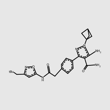 CC(C)(C)Cc1cc(NC(=O)Cc2ccc(-c3nn(C45CC(C4)C5)c(N)c3C(N)=O)cc2)on1